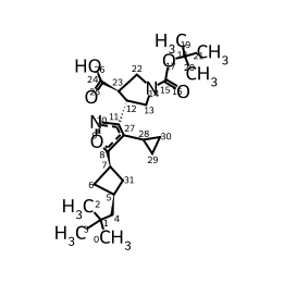 CC(C)(C)C[C@H]1C[C@@H](c2onc([C@H]3CN(C(=O)OC(C)(C)C)C[C@@H]3C(=O)O)c2C2CC2)C1